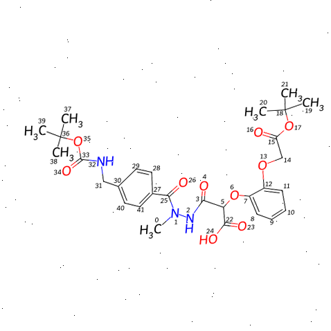 CN(NC(=O)C(Oc1ccccc1OCC(=O)OC(C)(C)C)C(=O)O)C(=O)c1ccc(CNC(=O)OC(C)(C)C)cc1